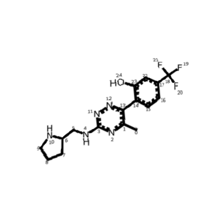 Cc1nc(NCC2CCCN2)nnc1-c1ccc(C(F)(F)F)cc1O